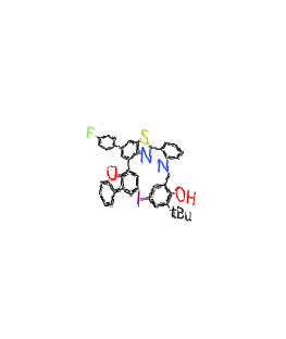 CC(C)(C)c1cc(I)cc(/C=N/c2ccccc2-c2nc3c(-c4cccc5c4oc4ccccc45)cc(-c4ccc(F)cc4)cc3s2)c1O